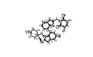 Cn1cc(F)c(=O)n(Cc2cc3nccc(-c4cc(F)cc5ccn(CC6(C#N)CCNCC6)c45)c3s2)c1=O